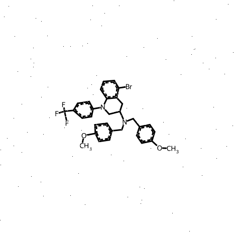 COc1ccc(CN(Cc2ccc(OC)cc2)C2Cc3c(Br)cccc3N(c3ccc(C(F)(F)F)cc3)C2)cc1